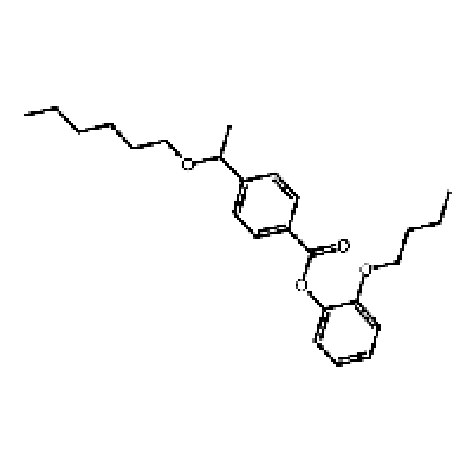 CCCCCCOC(C)c1ccc(C(=O)Oc2ccccc2OCCCC)cc1